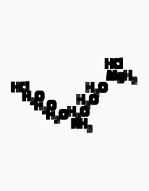 Cl.Cl.N.O.O.O.O.O.O.[MgH2]